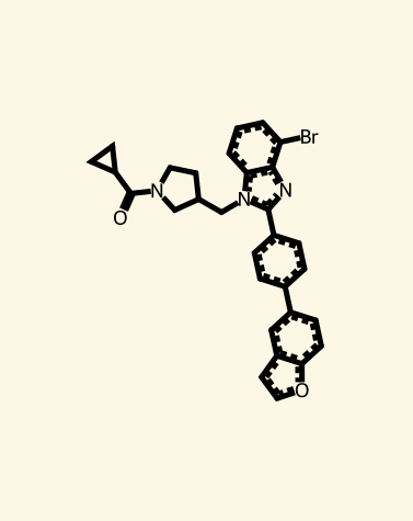 O=C(C1CC1)N1CCC(Cn2c(-c3ccc(-c4ccc5occc5c4)cc3)nc3c(Br)cccc32)C1